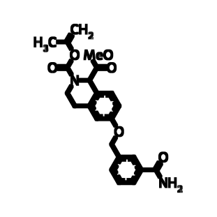 C=C(C)OC(=O)N1CCc2cc(OCc3cccc(C(N)=O)c3)ccc2C1C(=O)OC